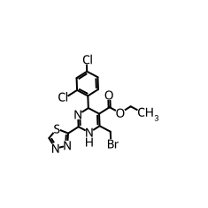 CCOC(=O)C1=C(CBr)NC(c2nncs2)=NC1c1ccc(Cl)cc1Cl